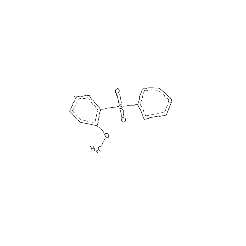 COc1cc[c]cc1S(=O)(=O)c1ccccc1